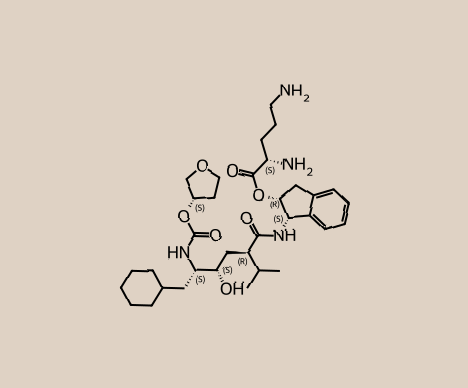 CC(C)[C@@H](C[C@H](O)[C@H](CC1CCCCC1)NC(=O)O[C@H]1CCOC1)C(=O)N[C@H]1c2ccccc2C[C@H]1OC(=O)[C@@H](N)CCCN